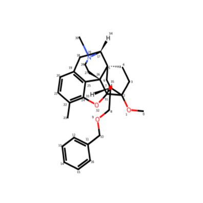 COC12CC[C@@]3(C[C@H]1COCc1ccccc1)[C@H]1Cc4ccc(C)c5c4[C@@]3(CCN1C)[C@H]2O5